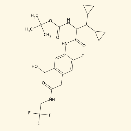 CC(C)(C)OC(=O)NC(C(=O)Nc1cc(CO)c(CC(=O)NCC(F)(F)F)cc1F)C(C1CC1)C1CC1